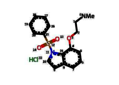 CNCCOc1cccc2ccn(S(=O)(=O)c3ccccc3)c12.Cl